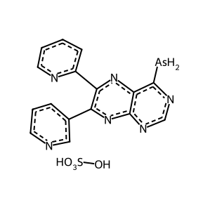 O=S(=O)(O)O.[AsH2]c1ncnc2nc(-c3cccnc3)c(-c3ccccn3)nc12